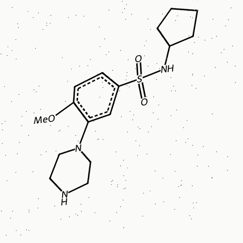 COc1ccc(S(=O)(=O)NC2CCCC2)cc1N1CCNCC1